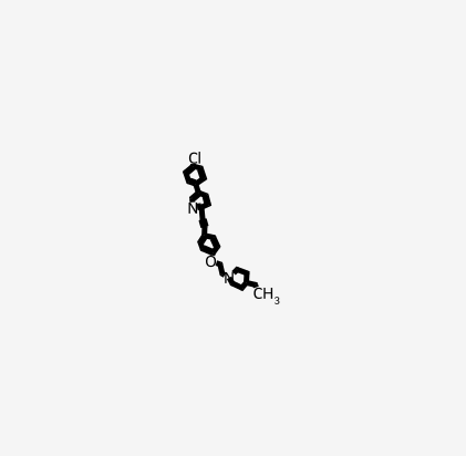 CCC1CCN(CCOc2ccc(C#Cc3ccc(-c4ccc(Cl)cc4)cn3)cc2)CC1